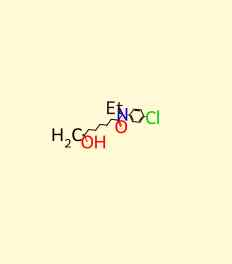 C=C(O)CCCCCC(=O)N(CC)c1ccc(Cl)cc1